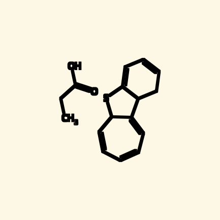 C1=CC=C2C(C=C1)SC1=CC=CCC12.CCC(=O)O